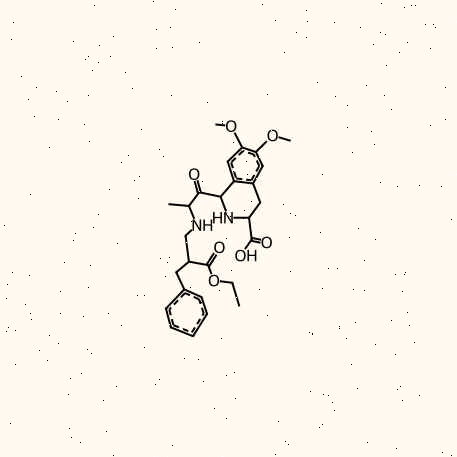 CCOC(=O)C(CNC(C)C(=O)C1NC(C(=O)O)Cc2cc(OC)c(OC)cc21)Cc1ccccc1